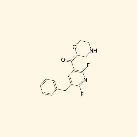 O=C(c1cc(Cc2ccccc2)c(F)nc1F)C1CNCCO1